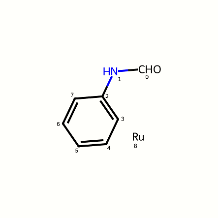 O=CNc1ccccc1.[Ru]